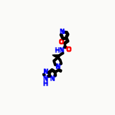 C=C(c1cnc2[nH]cnc2c1)N1CCC2(CC1)CC2CNC(=O)c1cc2ccncc2o1